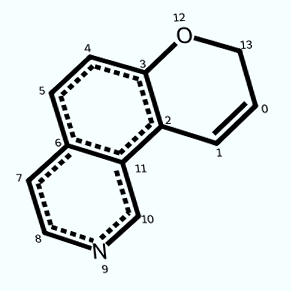 C1=Cc2c(ccc3ccncc23)OC1